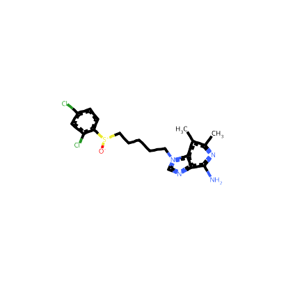 Cc1nc(N)c2ncn(CCCCC[S+]([O-])c3ccc(Cl)cc3Cl)c2c1C